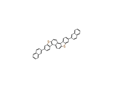 c1ccc2cc(-c3ccc4c(c3)sc3ccc5c(ccc6sc7cc(-c8ccc9ccccc9c8)ccc7c65)c34)ccc2c1